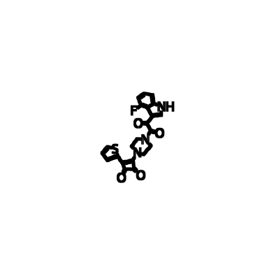 O=C(C(=O)N1CCN(c2c(-c3cccs3)c(=O)c2=O)CC1)c1c[nH]c2cccc(F)c12